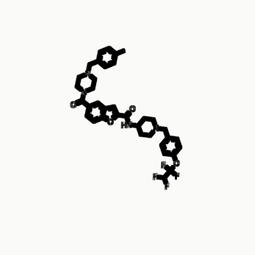 Cc1ccc(CN2CCN(C(=O)c3ccc4oc(C(=O)NC5CCN(Cc6ccc(OC(F)(F)C(F)F)cc6)CC5)cc4c3)CC2)cc1